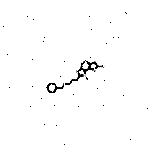 Cn1c(CCCOCc2ccccc2)nc2cnc3cc(Br)sc3c21